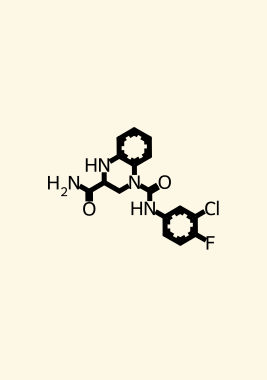 NC(=O)C1CN(C(=O)Nc2ccc(F)c(Cl)c2)c2ccccc2N1